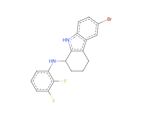 Fc1cccc(NC2CCCc3c2[nH]c2ccc(Br)cc32)c1F